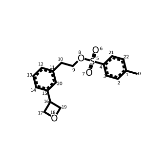 Cc1ccc(S(=O)(=O)OCCc2cccc(C3COC3)c2)cc1